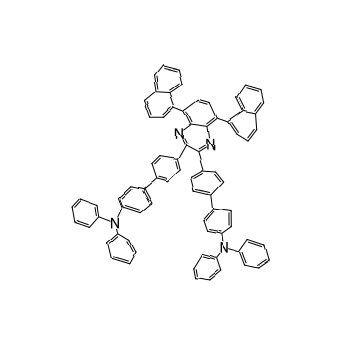 c1ccc(N(c2ccccc2)c2ccc(-c3ccc(-c4nc5c(-c6cccc7ccccc67)ccc(-c6cccc7ccccc67)c5nc4-c4ccc(-c5ccc(N(c6ccccc6)c6ccccc6)cc5)cc4)cc3)cc2)cc1